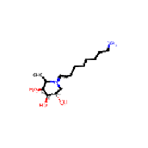 NCCCCCCCCN1C[C@H](O)[C@@H](O)[C@@H](O)C1C=O